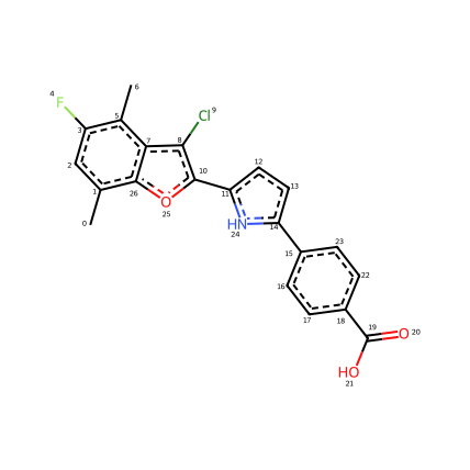 Cc1cc(F)c(C)c2c(Cl)c(-c3ccc(-c4ccc(C(=O)O)cc4)[nH]3)oc12